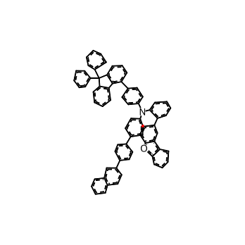 c1ccc(C2(c3ccccc3)c3ccccc3-c3c(-c4ccc(N(c5ccc(-c6ccc(-c7ccc8ccccc8c7)cc6)cc5)c5ccccc5-c5ccc6oc7ccccc7c6c5)cc4)cccc32)cc1